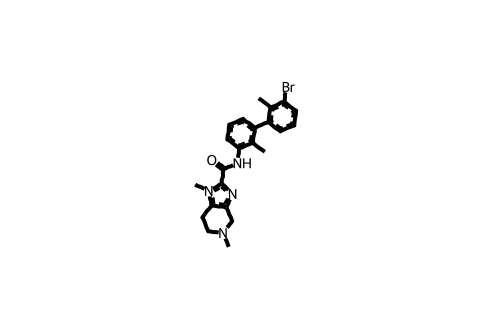 Cc1c(Br)cccc1-c1cccc(NC(=O)c2nc3c(n2C)CCN(C)C3)c1C